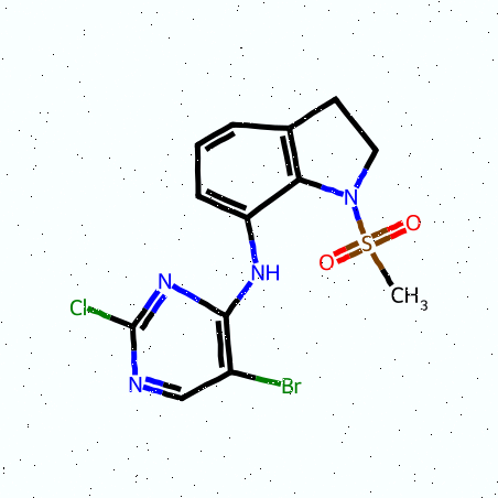 CS(=O)(=O)N1CCc2cccc(Nc3nc(Cl)ncc3Br)c21